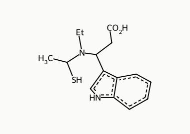 CCN(C(C)S)C(CC(=O)O)c1c[nH]c2ccccc12